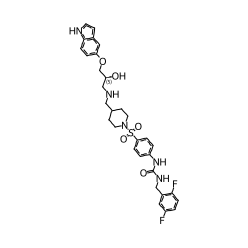 O=C(NCc1cc(F)ccc1F)Nc1ccc(S(=O)(=O)N2CCC(CNC[C@H](O)COc3ccc4[nH]ccc4c3)CC2)cc1